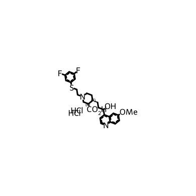 COc1ccc2nccc(C(O)CC[C@@H]3CCN(CCSc4cc(F)cc(F)c4)C[C@@H]3C(=O)O)c2c1.Cl.Cl